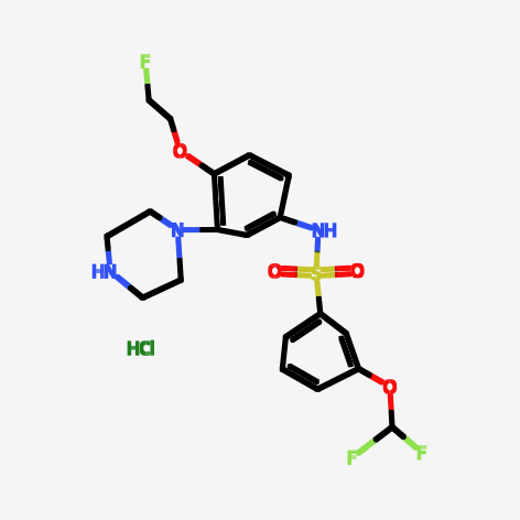 Cl.O=S(=O)(Nc1ccc(OCCF)c(N2CCNCC2)c1)c1cccc(OC(F)F)c1